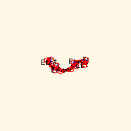 CCC1=CC(Cc2cc(CC)c(N3C(=O)c4ccc(Oc5ccc(C(C)(C)c6ccc(Oc7ccc8c(c7)C(=O)N(c7c(CC)cc(Cc9cc(CC)c(N%10C(=O)C=CC%10=O)c(CC)c9)cc7CC)C8=O)cc6)cc5)cc4C3=O)c(CC)c2)=CC(CC)C1N1C(=O)C=CC1=O